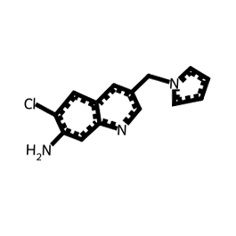 Nc1cc2ncc(Cn3cccc3)cc2cc1Cl